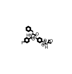 O=C(N[C@@H](Cc1ccccc1)C(=O)Nc1ccc(S(=O)(=O)NC2COC2)cc1)c1ccc(F)cc1